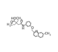 CCC(CC)(CC(=O)Nc1cccc(OCc2ccc3ccc(C)cc3n2)c1)C(=O)O